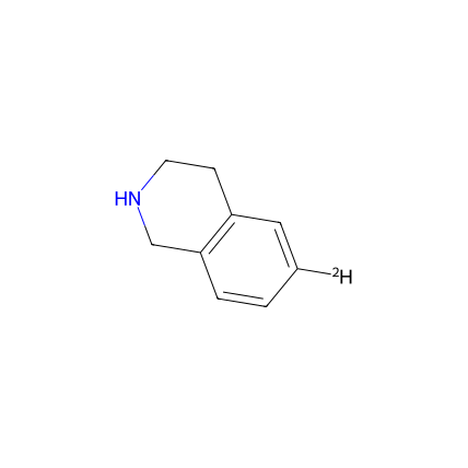 [2H]c1ccc2c(c1)CCNC2